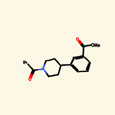 COC(=O)c1cccc(C2CCN(C(=O)C(C)C)CC2)c1